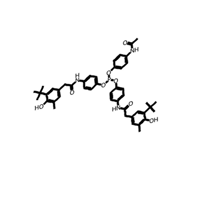 CC(=O)Nc1ccc(OP(Oc2ccc(NC(=O)Cc3cc(C)c(O)c(C(C)(C)C)c3)cc2)Oc2ccc(NC(=O)Cc3cc(C)c(O)c(C(C)(C)C)c3)cc2)cc1